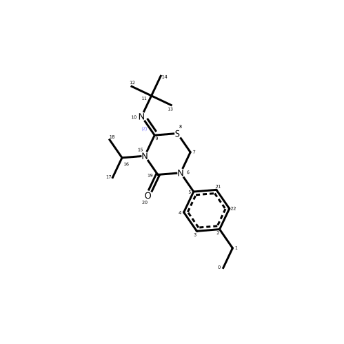 CCc1ccc(N2CS/C(=N\C(C)(C)C)N(C(C)C)C2=O)cc1